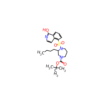 CCCCC1CN(C(=O)OC(C)(C)C)CCCN1S(=O)(=O)c1cccc2c(O)nccc12